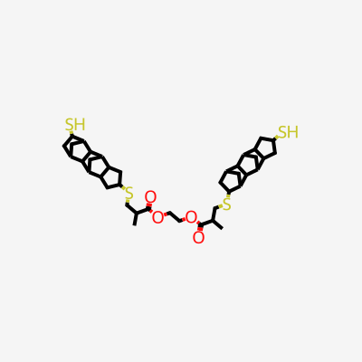 CC(CSC1CC2C(C1)C1CC2C2C3CC(S)C(C3)C12)C(=O)OCCOC(=O)C(C)CSC1CC2CC1C1C3CC(C4CC(S)CC43)C21